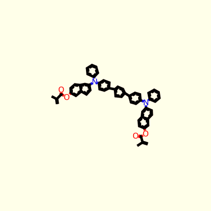 C=C(C)C(=O)Oc1ccc2cc(N(c3ccccc3)c3ccc(-c4ccc(-c5ccc(N(c6ccccc6)c6ccc7cc(OC(=O)C(=C)C)ccc7c6)cc5)cc4)cc3)ccc2c1